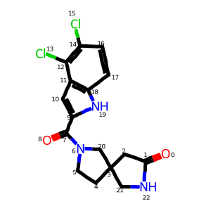 O=C1CC2(CCN(C(=O)c3cc4c(Cl)c(Cl)ccc4[nH]3)C2)CN1